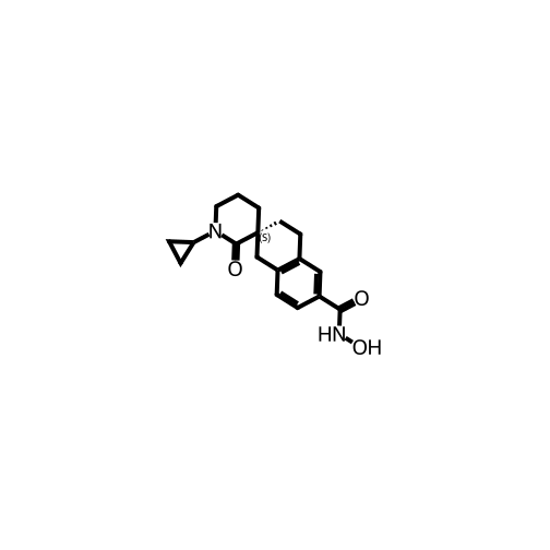 O=C(NO)c1ccc2c(c1)CC[C@]1(CCCN(C3CC3)C1=O)C2